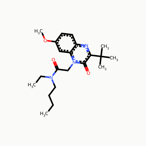 CCCCN(CC)C(=O)Cn1c(=O)c(C(C)(C)C)nc2ccc(OC)cc21